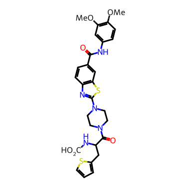 COc1ccc(NC(=O)c2ccc3nc(N4CCN(C(=O)C(Cc5cccs5)NC(=O)O)CC4)sc3c2)cc1OC